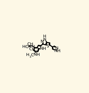 CNc1cc(CC(C)(C)O)c2cc(-c3n[nH]c4cc(-c5cn[nH]c5)sc34)[nH]c2c1